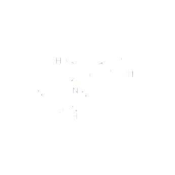 CC(=O)OC[C@@H]1C[C@H](C)[C@H](c2cc(C#N)c3c(=O)[nH]cnn23)O1